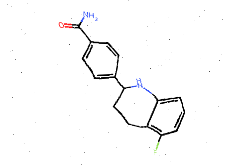 NC(=O)c1ccc(C2CCc3c(F)cccc3N2)cc1